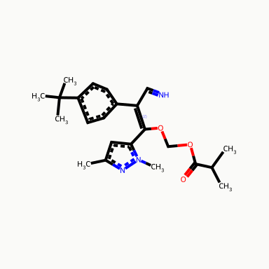 Cc1cc(/C(OCOC(=O)C(C)C)=C(/C=N)c2ccc(C(C)(C)C)cc2)n(C)n1